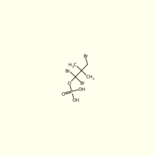 CC(C)(CBr)C(Br)(Br)OP(=O)(O)O